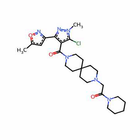 Cc1cc(-c2nn(C)c(Cl)c2C(=O)N2CCC3(CCN(CC(=O)N4CCCCC4)CC3)CC2)no1